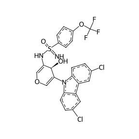 N=S(=O)(NC1=COC=C(n2c3ccc(Cl)cc3c3cc(Cl)ccc32)[C@@H]1O)c1ccc(OC(F)(F)F)cc1